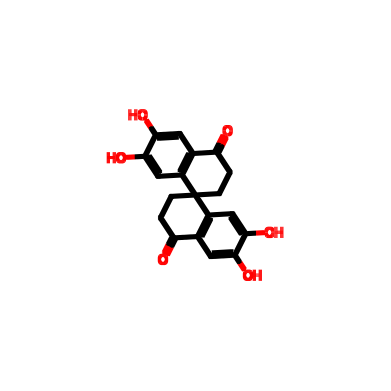 O=C1CCC2(CCC(=O)c3cc(O)c(O)cc32)c2cc(O)c(O)cc21